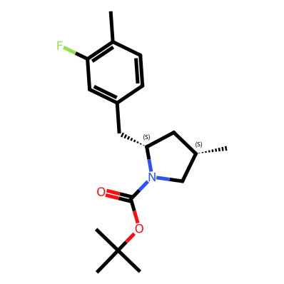 Cc1ccc(C[C@@H]2C[C@H](C)CN2C(=O)OC(C)(C)C)cc1F